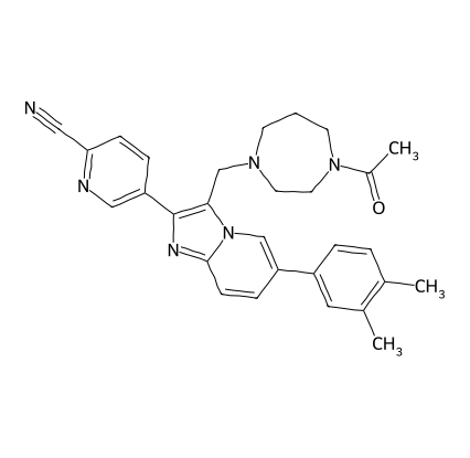 CC(=O)N1CCCN(Cc2c(-c3ccc(C#N)nc3)nc3ccc(-c4ccc(C)c(C)c4)cn23)CC1